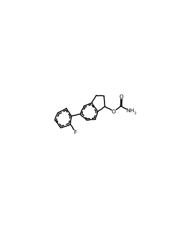 NC(=O)OC1CCc2cc(-c3ccccc3F)ccc21